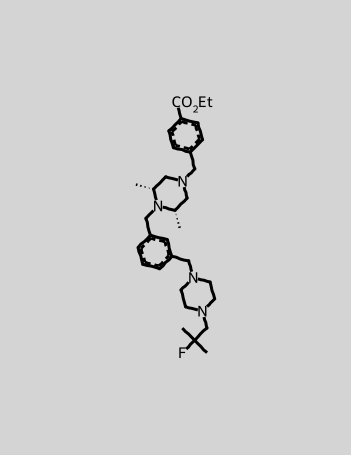 CCOC(=O)c1ccc(CN2C[C@@H](C)N(Cc3cccc(CN4CCN(CC(C)(C)F)CC4)c3)[C@@H](C)C2)cc1